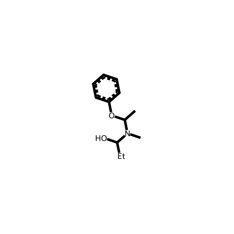 CCC(O)N(C)C(C)Oc1ccccc1